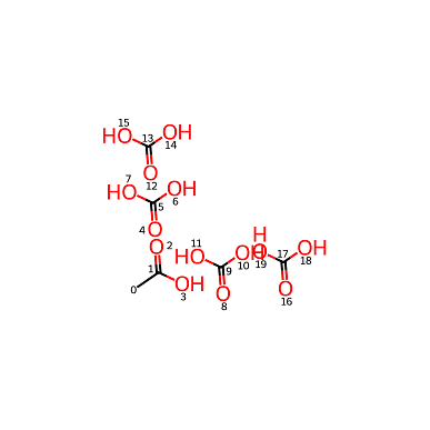 CC(=O)O.O=C(O)O.O=C(O)O.O=C(O)O.O=C(O)O